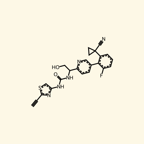 C#Cc1nc(NC(=O)NC(CO)c2ccc(-c3c(F)cccc3C3(C#N)CC3)cn2)cs1